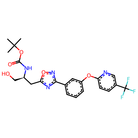 CC(C)(C)OC(=O)N[C@H](CO)Cc1nc(-c2cccc(Oc3ccc(C(F)(F)F)cn3)c2)no1